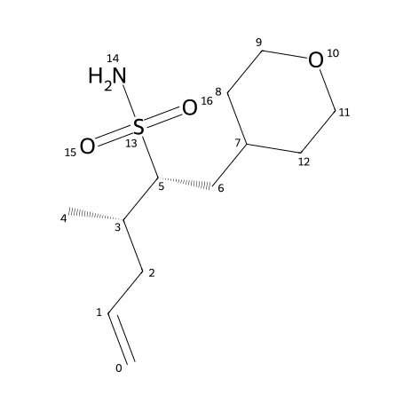 C=CC[C@H](C)[C@@H](CC1CCOCC1)S(N)(=O)=O